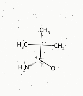 [CH2]C(C)(C)[S@@+](N)[O-]